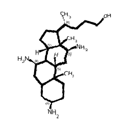 C[C@H](CCCO)C1CC[C@H]2C3[C@H](N)CC4C[C@H](N)CCC4(C)[C@H]3C[C@H](N)C12C